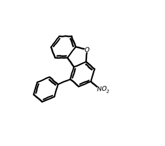 O=[N+]([O-])c1cc(-c2ccccc2)c2c(c1)oc1ccccc12